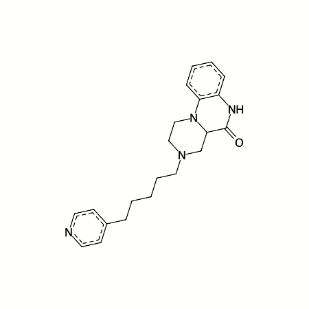 O=C1Nc2ccccc2N2CCN(CCCCCc3ccncc3)CC12